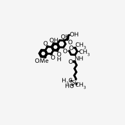 COc1cccc2c1C(=O)c1c(O)c3c(c(O)c1C2=O)C[C@@](O)(C(=O)CO)C[C@@H]3O[C@H]1C[C@H](NC(=O)CCCCC[Si](C)(C)O)[C@H](C)[C@H](C)O1